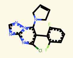 Fc1cccc(F)c1-c1c(Cl)nc2ncnn2c1N1CC=CC1